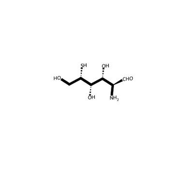 N[C@H](C=O)[C@@H](O)[C@H](O)[C@@H](S)CO